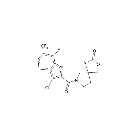 O=C1NC2(CCN(C(=O)c3sc4c(F)c(C(F)(F)F)ccc4c3Cl)C2)CO1